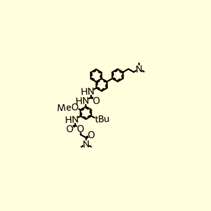 COc1c(NC(=O)Nc2ccc(-c3ccc(CCN(C)C)cc3)c3ccccc23)cc(C(C)(C)C)cc1NC(=O)OCC(=O)N(C)C